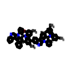 Cc1cc(C)c2c(c1)c1cc(C)cc(C)c1n2B1c2ccccc2-n2c3cnc4cc(-c5c(C)cc(C)c6c5c5cc(C)cc(C)c5n6B5c6ccccc6-n6c7cnc8ccccc8c7c7c8ccccc8cc5c76)ccc4c3c3cccc1c32